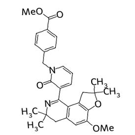 COC(=O)c1ccc(Cn2cccc(C3=NC(C)(C)Cc4cc(OC)c5c(c43)CC(C)(C)O5)c2=O)cc1